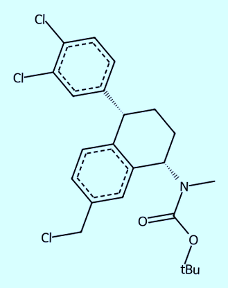 CN(C(=O)OC(C)(C)C)[C@H]1CC[C@@H](c2ccc(Cl)c(Cl)c2)c2ccc(CCl)cc21